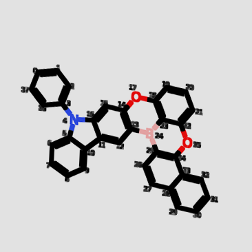 c1ccc(-n2c3ccccc3c3cc4c(cc32)Oc2cccc3c2B4c2ccc4ccccc4c2O3)cc1